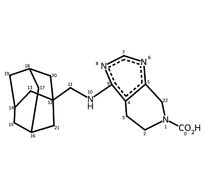 O=C(O)N1CCc2c(ncnc2NCC23CC4CC(CC(C4)C2)C3)C1